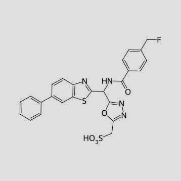 O=C(NC(c1nnc(CS(=O)(=O)O)o1)c1nc2ccc(-c3ccccc3)cc2s1)c1ccc(CF)cc1